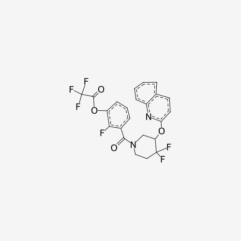 O=C(c1cccc(OC(=O)C(F)(F)F)c1F)N1CCC(F)(F)C(Oc2ccc3ccccc3n2)C1